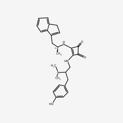 C[C@@H](CC1=CCc2ccccc21)Nc1c(NCC(Cc2ccc(O)cc2)N(C)C)c(=O)c1=O